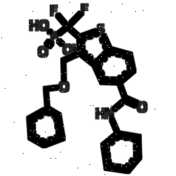 O=C(Nc1ccccc1)c1ccc2sc(C(F)(F)P(=O)(O)O)c(COCc3ccccc3)c2c1